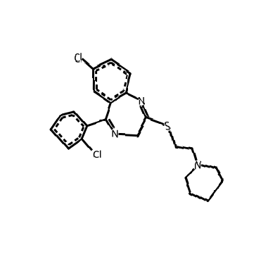 Clc1ccc2c(c1)C(c1ccccc1Cl)=NCC(SCCN1CCCCC1)=N2